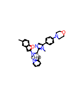 Cc1ccc2oc(N(C=O)[C@@H](Cc3ccccn3)c3ncc(-c4ccc(N5CCOCC5)cc4)n3C)cc2c1